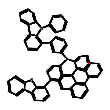 c1ccc(-c2cccc3cccc(-c4ccccc4N(c4ccc(-c5cccc6c5sc5ccccc56)cc4)c4cccc(-c5cccc6c7ccccc7n(-c7ccccc7)c56)c4)c23)cc1